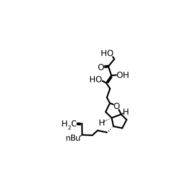 C=C[C@@H](CCCC)CCC[C@H]1CC[C@@H]2OC(CCC(O)=C(O)C(=O)CO)C[C@H]12